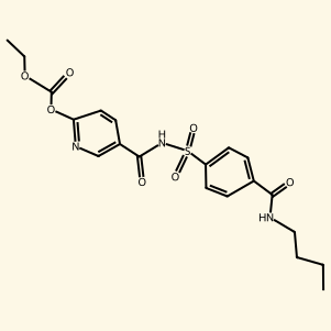 CCCCNC(=O)c1ccc(S(=O)(=O)NC(=O)c2ccc(OC(=O)OCC)nc2)cc1